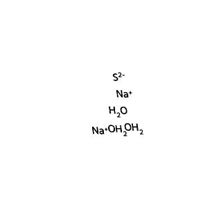 O.O.O.[Na+].[Na+].[S-2]